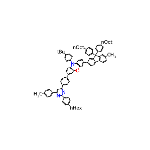 CCCCCCCCc1ccc(C2(c3ccc(CCCCCCCC)cc3)c3cc(C)ccc3-c3ccc(-c4ccc5c(c4)Oc4cc(-c6ccc(-c7cc(-c8ccc(C)cc8)nc(-c8ccc(CCCCCC)cc8)n7)cc6)ccc4N5c4ccc(C(C)(C)C)cc4)cc32)cc1